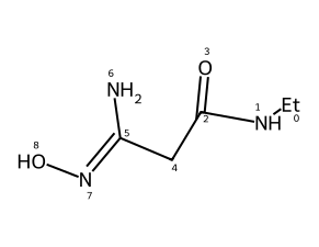 CCNC(=O)C/C(N)=N/O